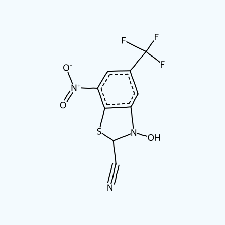 N#CC1Sc2c(cc(C(F)(F)F)cc2[N+](=O)[O-])N1O